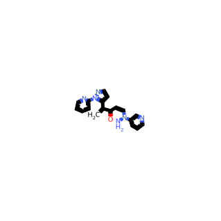 C=C(C(=O)/C=C\N(N)c1cccnc1)c1ccnn1-c1ccccn1